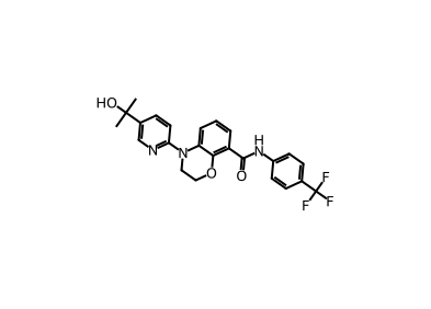 CC(C)(O)c1ccc(N2CCOc3c(C(=O)Nc4ccc(C(F)(F)F)cc4)cccc32)nc1